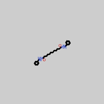 O=C(CCCCCCCCCCC(=O)N/N=C/c1ccccc1)N/N=C/c1ccccc1